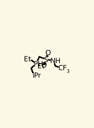 CC[PH](CC)(CC(C)C)CS(=O)(=O)NCC(F)(F)F